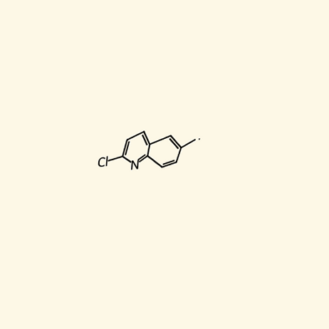 [CH2]c1ccc2nc(Cl)ccc2c1